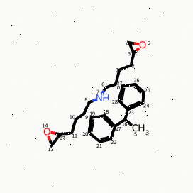 C(CCC1CO1)CNCCCCC1CO1.CC(c1ccccc1)c1ccccc1